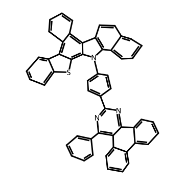 c1ccc(-c2nc(-c3ccc(-n4c5c6ccccc6ccc5c5c6ccccc6c6c7ccccc7sc6c54)cc3)nc3c4ccccc4c4ccccc4c23)cc1